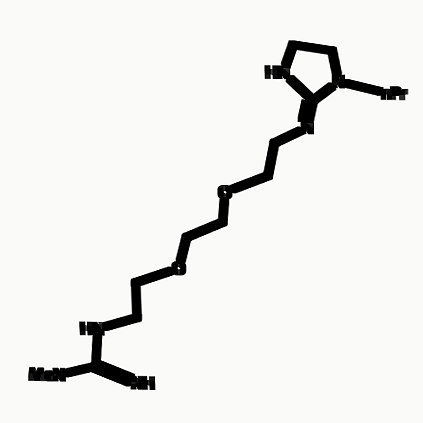 CCCN1CCN/C1=N\CCOCCOCCNC(=N)NC